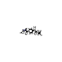 CO/N=C(/C)C(=O)N1CCC(NC(=O)OC(C)(C)C)CC1